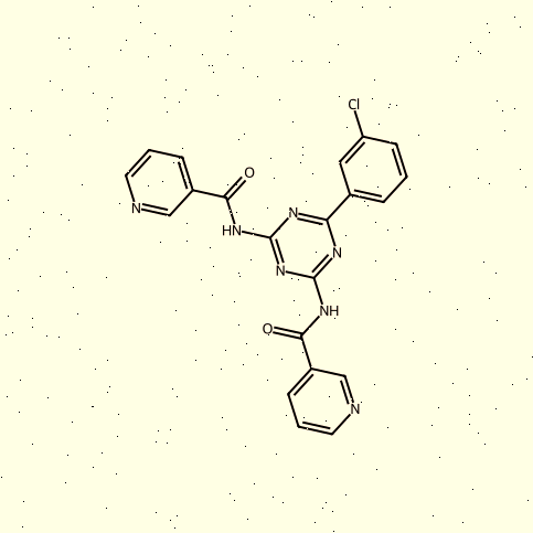 O=C(Nc1nc(NC(=O)c2cccnc2)nc(-c2cccc(Cl)c2)n1)c1cccnc1